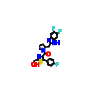 O=C(c1nc(CO)sc1-c1ccc(F)cc1)N1CCCC1Cc1nc2cc(F)c(F)cc2[nH]1